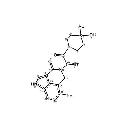 CC(C)[C@H](C(=O)N1CCS(O)(O)CC1)N1Cc2c(F)cnc3[nH]cc(c23)C1=O